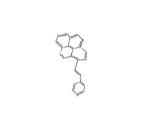 C(=C\c1ccc2ccc3cccc4ccc1c2c34)/c1ccncc1